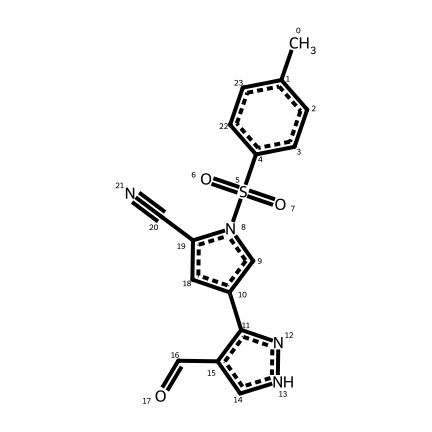 Cc1ccc(S(=O)(=O)n2cc(-c3n[nH]cc3C=O)cc2C#N)cc1